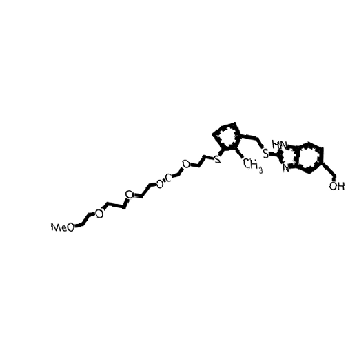 COCCOCCOCCOCCOCCSc1cccc(CSc2nc3cc(CO)ccc3[nH]2)c1C